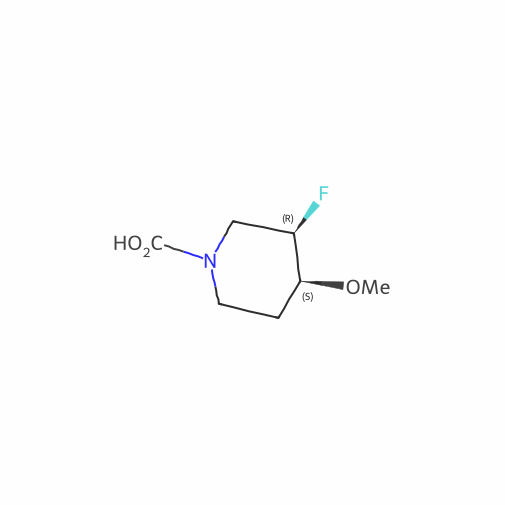 CO[C@H]1CCN(C(=O)O)C[C@H]1F